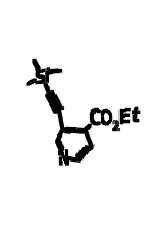 CCOC(=O)c1ccncc1C#C[Si](C)(C)C